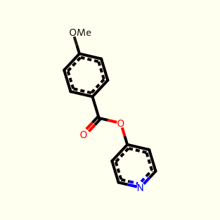 COc1ccc(C(=O)Oc2ccncc2)cc1